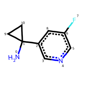 NC1(c2cncc(F)c2)CC1